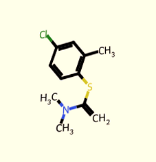 C=C(Sc1ccc(Cl)cc1C)N(C)C